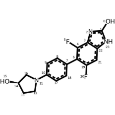 Oc1nc2c(F)c(-c3ccc(N4CC[C@@H](O)C4)cc3)c(F)cc2[nH]1